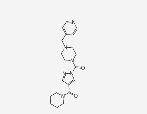 O=C(c1cnn(C(=O)N2CCN(Cc3ccncc3)CC2)c1)N1CCCCC1